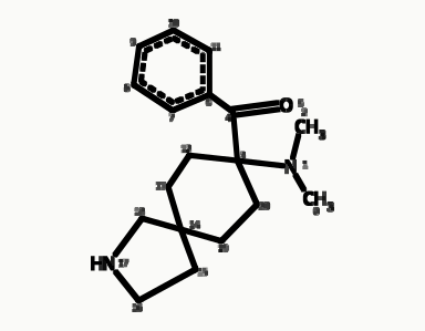 CN(C)C1(C(=O)c2ccccc2)CCC2(CCNC2)CC1